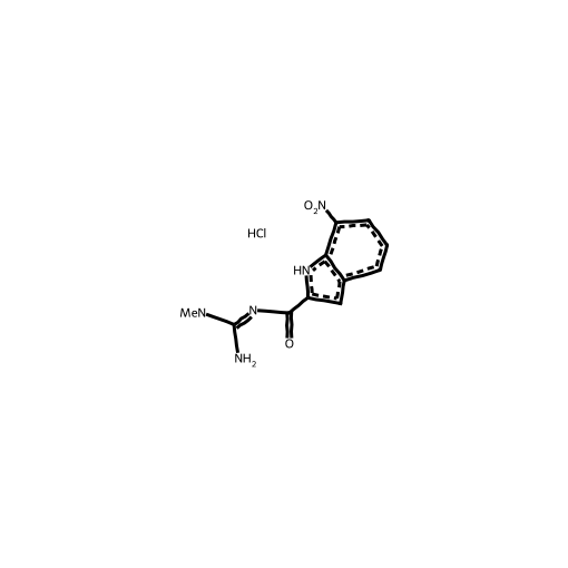 CNC(N)=NC(=O)c1cc2cccc([N+](=O)[O-])c2[nH]1.Cl